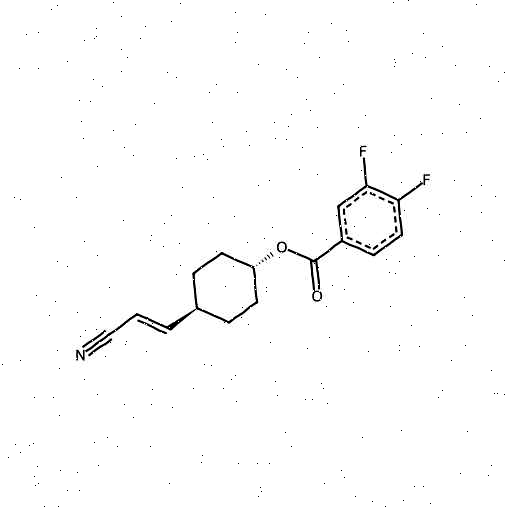 N#C/C=C/[C@H]1CC[C@H](OC(=O)c2ccc(F)c(F)c2)CC1